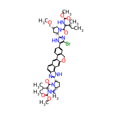 CC[C@H](C)[C@H](NC(=O)OC)C(=O)N1C[C@@H](COC)C[C@H]1c1nc(Br)c(-c2ccc3c(c2)COc2cc4c(ccc5nc([C@@H]6CC[C@H](C)N6C(=O)[C@@H](NC(=O)OC)C(C)C)[nH]c54)cc2-3)[nH]1